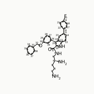 NCCC[C@H](N)CNC(=O)c1[nH]c2ccc(-c3ccc(F)cc3)cc2c1-c1cccc(OCc2ccccc2)c1